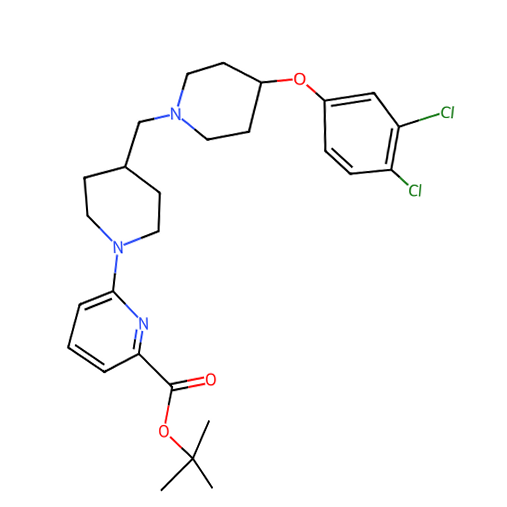 CC(C)(C)OC(=O)c1cccc(N2CCC(CN3CCC(Oc4ccc(Cl)c(Cl)c4)CC3)CC2)n1